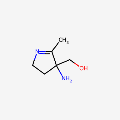 CC1=NCCC1(N)CO